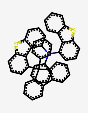 c1ccc(N(c2cccc3sc4ccccc4c23)c2cccc3sc4cccc(C5(c6ccccc6)c6ccccc6-c6ccccc65)c4c23)cc1